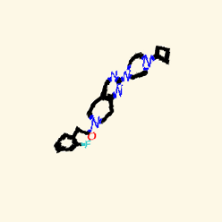 O=C(Cc1ccccc1F)N1CCc2cnc(N3CCN(C4CCC4)CC3)nc2CC1